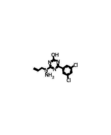 C=CCN(N)c1nc(O)nc(-c2cc(Cl)cc(Cl)c2)n1